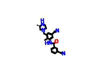 Cc1c(CN2CCN[C@@H](C)C2)cc(C#N)cc1NC(=O)c1cccc(C#N)c1